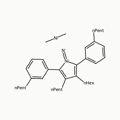 CCCCCCC1=C(c2cccc(CCCCC)c2)[N+](=[N-])C(c2cccc(CCCCC)c2)=C1CCCCC.[CH3][Ni][CH3]